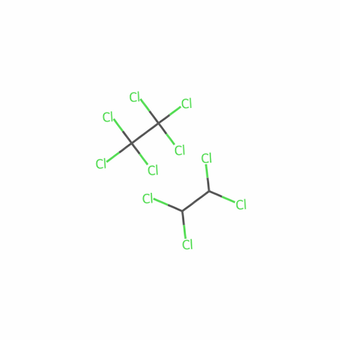 ClC(Cl)(Cl)C(Cl)(Cl)Cl.ClC(Cl)C(Cl)Cl